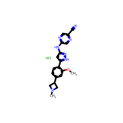 COc1cc(C2CN(C)C2)ccc1-c1cc(Nc2cnc(C#N)cn2)n[nH]1.Cl